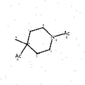 CC(=O)N1CCC(C)(C(C)=O)CC1